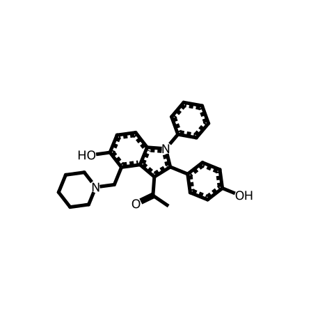 CC(=O)c1c(-c2ccc(O)cc2)n(-c2ccccc2)c2ccc(O)c(CN3CCCCC3)c12